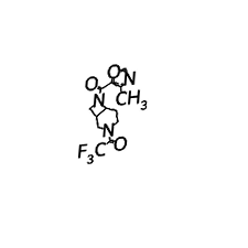 Cc1ncoc1C(=O)N1CC2CN(C(=O)C(F)(F)F)CCC21